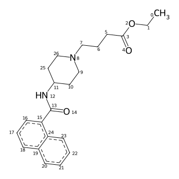 CCOC(=O)CCCN1CCC(NC(=O)c2cccc3ccccc23)CC1